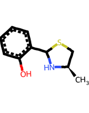 C[C@@H]1CSC(c2ccccc2O)N1